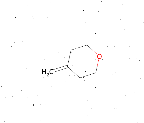 C=C1CCOCC1